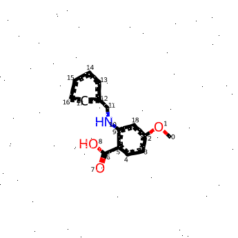 COc1ccc(C(=O)O)c(NCc2ccccc2)c1